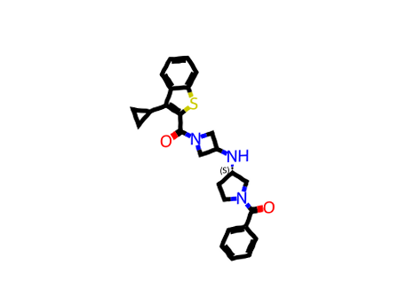 O=C(c1ccccc1)N1CC[C@H](NC2CN(C(=O)c3sc4ccccc4c3C3CC3)C2)C1